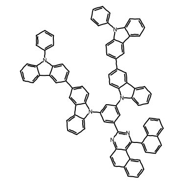 c1ccc(-n2c3ccccc3c3cc(-c4ccc5c(c4)c4ccccc4n5-c4cc(-c5nc(-c6cccc7ccccc67)c6c(ccc7ccccc76)n5)cc(-n5c6ccccc6c6cc(-c7ccc8c(c7)c7ccccc7n8-c7ccccc7)ccc65)c4)ccc32)cc1